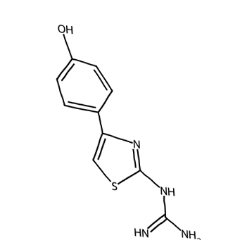 N=C(N)Nc1nc(-c2ccc(O)cc2)cs1